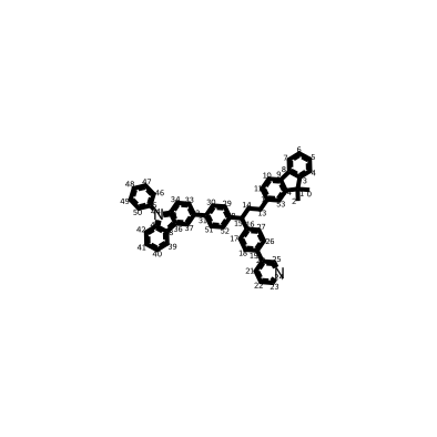 CC1(C)c2ccccc2-c2ccc(CCC(c3ccc(-c4cccnc4)cc3)c3ccc(-c4ccc5c(c4)c4ccccc4n5-c4ccccc4)cc3)cc21